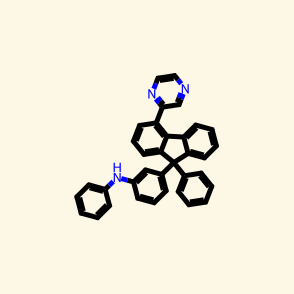 c1ccc(Nc2cccc(C3(c4ccccc4)c4ccccc4-c4c(-c5cnccn5)cccc43)c2)cc1